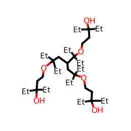 CCC(O)(CC)CCOC(CC)(CC)CC(CC(CC)(CC)OCCC(O)(CC)CC)C(CC)(CC)OCCC(O)(CC)CC